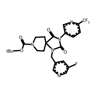 CC(C)(C)OC(=O)N1CCC2(CC1)C(=O)N(c1ccc(C(F)(F)F)nc1)C(=O)N2Cc1cncc(F)c1